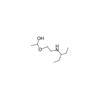 CCC(CC)NCCOC(C)O